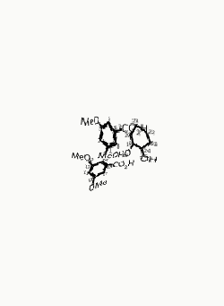 COc1cc(OC)cc(C(=O)O)c1.COc1cc(OC)cc(C(=O)O)c1.OC1CCCCC1O